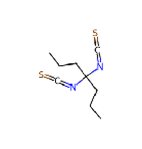 CCCC(CCC)(N=C=S)N=C=S